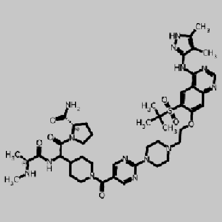 CN[C@@H](C)C(=O)NC(C(=O)N1CCC[C@H]1C(N)=O)C1CCN(C(=O)c2cnc(N3CCN(CCOc4cc5ncnc(Nc6n[nH]c(C)c6C)c5cc4S(=O)(=O)C(C)(C)C)CC3)nc2)CC1